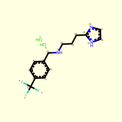 Cl.Cl.FC(F)(F)c1ccc(CNCCCc2ncc[nH]2)cc1